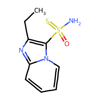 CCc1nc2ccccn2c1S(N)(=O)=S